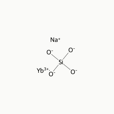 [Na+].[O-][Si]([O-])([O-])[O-].[Yb+3]